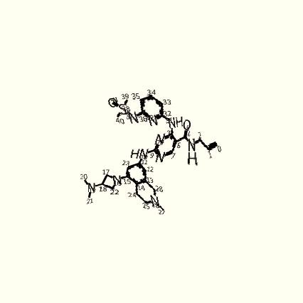 C=CCNC(=O)c1cnc(Nc2cc3c(c(N4CC(N(C)C)C4)c2)CCN(C)C3)nc1Nc1cccc(N=S(C)(C)=O)n1